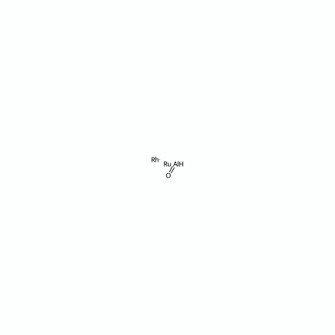 [O]=[AlH].[Rh].[Ru]